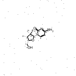 C[C@H]1[C@@H](CO)O[C@@H](n2ccc(N)nc2=O)[C@]1(C)F